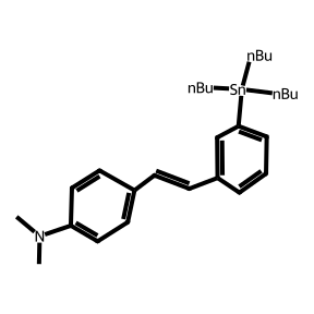 CCC[CH2][Sn]([CH2]CCC)([CH2]CCC)[c]1cccc(/C=C/c2ccc(N(C)C)cc2)c1